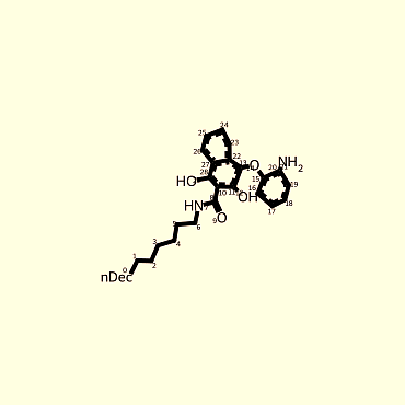 CCCCCCCCCCCCCCCCNC(=O)c1c(O)c(Oc2ccccc2N)c2ccccc2c1O